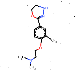 CN(C)CCOc1ccc(C2=NNCCO2)cc1C(F)(F)F